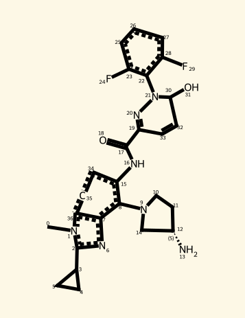 Cn1c(C2CC2)nc2c(N3CC[C@H](N)C3)c(NC(=O)C3=NN(c4c(F)cccc4F)C(O)C=C3)ccc21